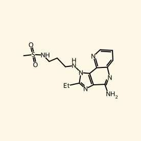 CCc1nc2c(N)nc3cccnc3c2n1NCCCNS(C)(=O)=O